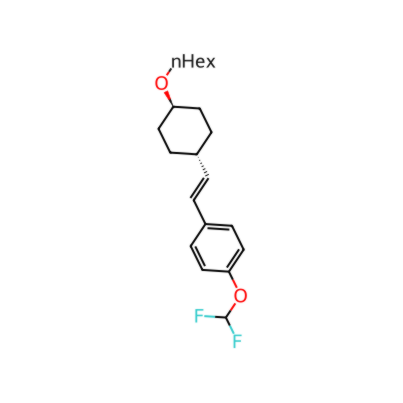 CCCCCCO[C@H]1CC[C@H](C=Cc2ccc(OC(F)F)cc2)CC1